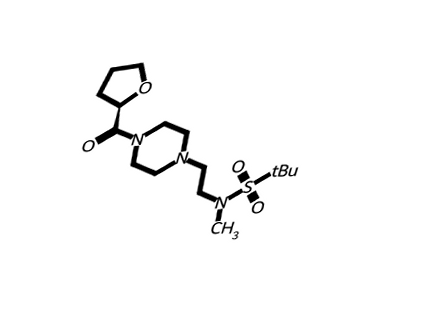 CN(CCN1CCN(C(=O)[C@H]2CCCO2)CC1)S(=O)(=O)C(C)(C)C